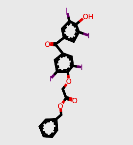 O=C(COc1c(I)cc(C(=O)c2cc(I)c(O)c(I)c2)cc1I)OCc1ccccc1